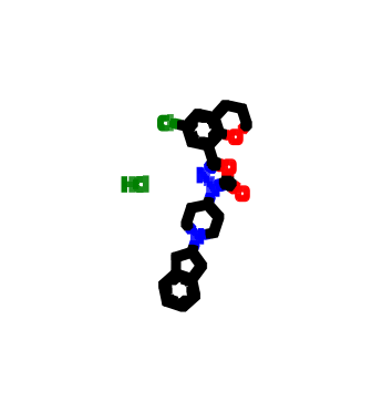 Cl.O=c1oc(-c2cc(Cl)cc3c2OCCC3)nn1C1CCN(C2Cc3ccccc3C2)CC1